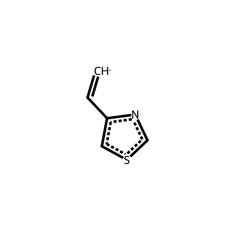 [CH]=Cc1cscn1